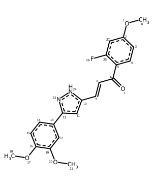 COc1ccc(C(=O)C=Cc2cc(-c3ccc(OC)c(OC)c3)n[nH]2)c(F)c1